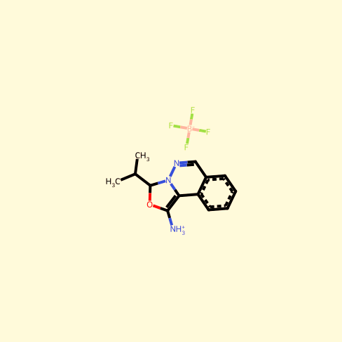 CC(C)C1OC([NH3+])=C2c3ccccc3C=NN21.F[B-](F)(F)F